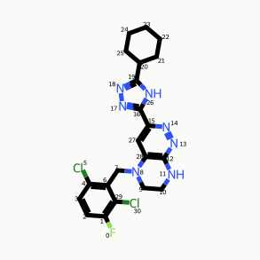 Fc1ccc(Cl)c(CN2CCNc3nnc(-c4nnc(C5CCCCC5)[nH]4)cc32)c1Cl